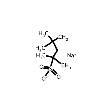 CC(C)(C)CC(C)(C)S(=O)(=O)[O-].[Na+]